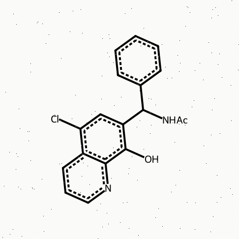 CC(=O)NC(c1ccccc1)c1cc(Cl)c2cccnc2c1O